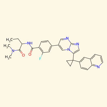 CCC(NC(=O)c1ccc(-c2cnc3ncc(C4(c5ccc6ncccc6c5)CC4)n3c2)cc1F)C(=O)N(C)C